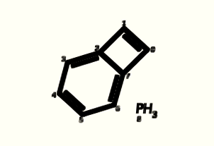 C1=Cc2ccccc21.P